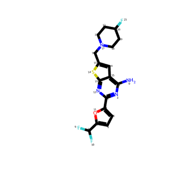 Nc1nc(-c2ccc(C(F)F)o2)nc2sc(CN3CCC(F)CC3)cc12